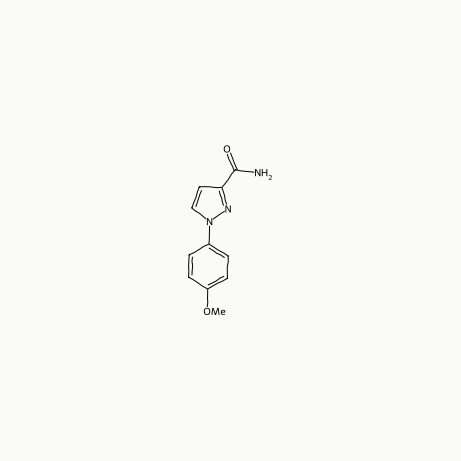 COc1ccc(-n2ccc(C(N)=O)n2)cc1